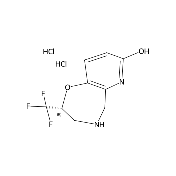 Cl.Cl.Oc1ccc2c(n1)CNC[C@H](C(F)(F)F)O2